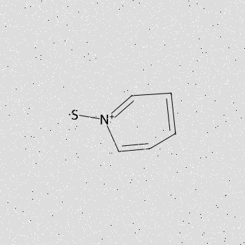 [S][n+]1ccccc1